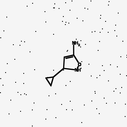 NC1=CC(C2CC2)NO1